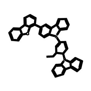 CCC1C=C(n2c3ccccc3c3cc(-c4cccc5c4oc4ccccc45)ccc32)C=CC1n1c2ccccc2c2ccccc21